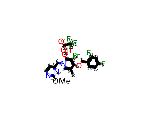 COc1nccc(Cn2cc(C)c(OCc3ccc(F)cc3F)c(Br)c2=O)n1.O=C(O)C(F)(F)F